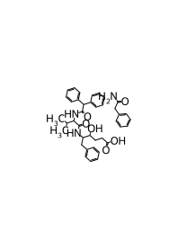 CC(C)C(NC(=O)C(c1ccccc1)c1ccccc1)C(=O)NC(Cc1ccccc1)C(O)CCC(=O)O.NC(=O)Cc1ccccc1